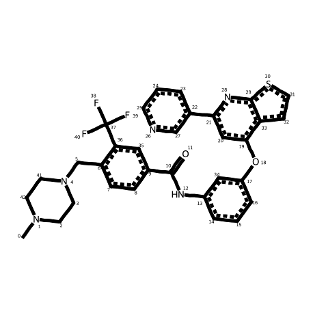 CN1CCN(Cc2ccc(C(=O)Nc3cccc(Oc4cc(-c5cccnc5)nc5sccc45)c3)cc2C(F)(F)F)CC1